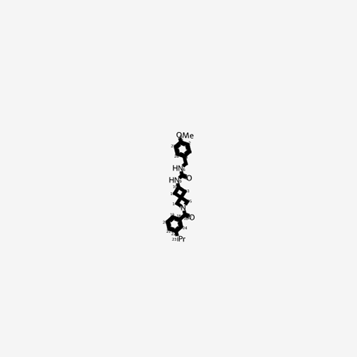 COc1ccc(CNC(=O)NC2CC3(C2)CN(C(=O)c2cccc(C(C)C)c2)C3)cc1